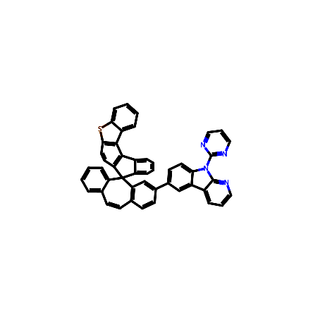 C1=Cc2ccc(-c3ccc4c(c3)c3cccnc3n4-c3ncccn3)cc2C2(c3ccccc31)c1ccccc1-c1c2ccc2sc3ccccc3c12